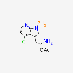 CC(=O)OC(N)Cc1cn(P)c2nccc(Cl)c12